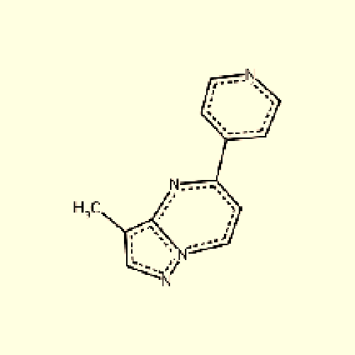 Cc1cnn2ccc(-c3ccncc3)nc12